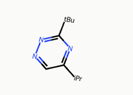 CC(C)c1cnnc(C(C)(C)C)n1